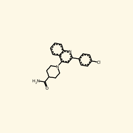 NC(=O)C1CCN(c2cc(-c3ccc(Cl)cc3)nc3ccccc23)CC1